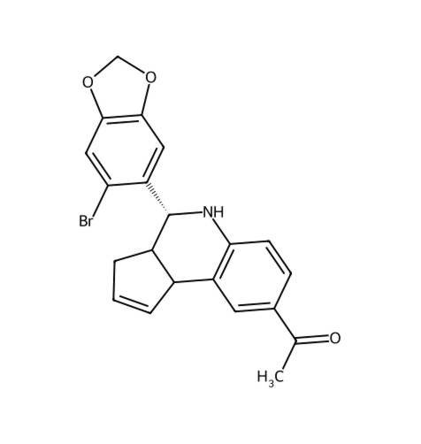 CC(=O)c1ccc2c(c1)C1C=CCC1[C@H](c1cc3c(cc1Br)OCO3)N2